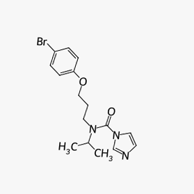 CC(C)N(CCCOc1ccc(Br)cc1)C(=O)n1ccnc1